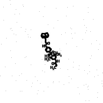 C=CC(=O)NC1CC(C)(C)N(S(=O)(=O)c2ccc(NC(=O)CCC34CC5CC(CC(C5)C3)C4)cc2)C(C)(C)C1